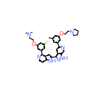 Cc1cc(OCCN2CCCC2)cc(-c2cc3c(-c4cc5c(-c6cc(F)cc(OCCN(C)C)c6)nccc5[nH]4)n[nH]c3cn2)c1